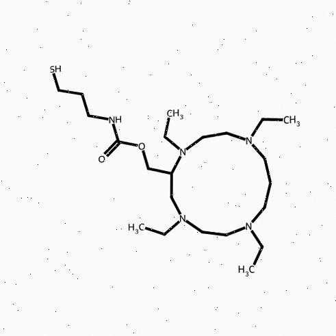 CCN1CCCN(CC)CCN(CC)C(COC(=O)NCCCS)CN(CC)CC1